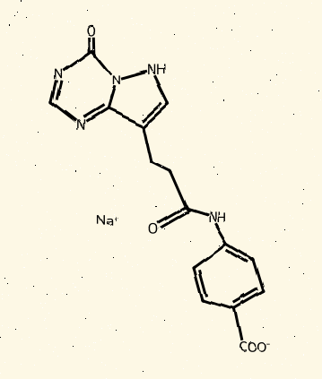 O=C(CCc1c[nH]n2c(=O)ncnc12)Nc1ccc(C(=O)[O-])cc1.[Na+]